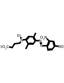 CCOC(=O)CCCN(CC)c1cc(C)c(N=Nc2ccc([N+](=O)[O-])cc2[N+](=O)[O-])cc1C